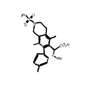 Cc1ccc(-c2c(C)c3c(c(C)c2C(OC(C)(C)C)C(=O)O)CCN(S(=O)(=O)C(C)C)C3)cc1